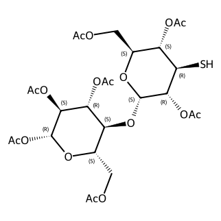 CC(=O)OC[C@@H]1O[C@@H](O[C@@H]2[C@@H](OC(C)=O)[C@H](OC(C)=O)[C@@H](OC(C)=O)O[C@H]2COC(C)=O)[C@@H](OC(C)=O)[C@H](S)[C@H]1OC(C)=O